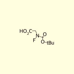 CC(C)(C)OC(=O)N(F)CC(=O)O